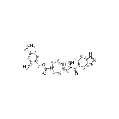 COc1ccc(COC(=O)N2CCN/C(=C\C(=N)C(=O)N3CCc4[nH]nnc4C3)CC2)c(C)c1